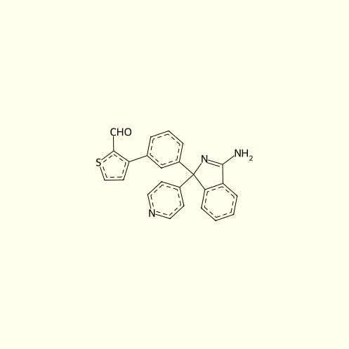 NC1=NC(c2ccncc2)(c2cccc(-c3ccsc3C=O)c2)c2ccccc21